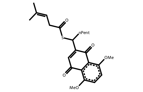 CCCCCC(SC(=O)CC=C(C)C)C1=CC(=O)c2c(OC)ccc(OC)c2C1=O